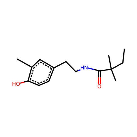 CCC(C)(C)C(=O)NCCc1ccc(O)c(C)c1